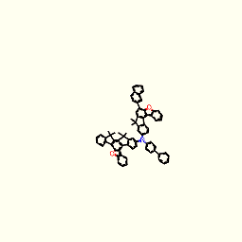 CC1(C)c2cc(N(c3ccc(-c4ccccc4)cc3)c3ccc4c(c3)C(C)(C)c3c5c(c6oc7ccccc7c6c3-4)-c3ccccc3C5(C)C)ccc2-c2c1cc(-c1ccc3ccccc3c1)c1oc3ccccc3c21